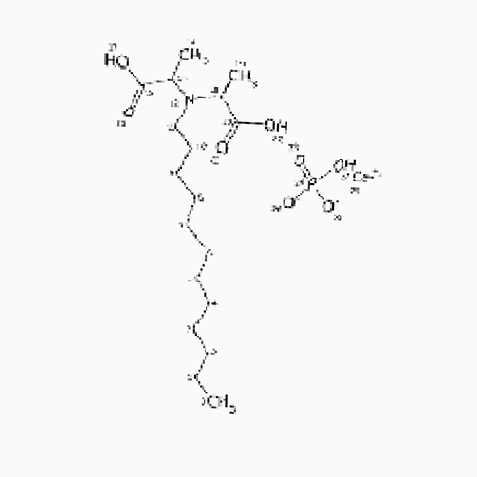 CCCCCCCCCCCCN(C(C)C(=O)O)C(C)C(=O)O.O=P([O-])([O-])O.[Ca+2]